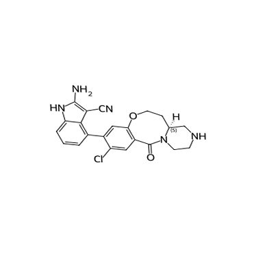 N#Cc1c(N)[nH]c2cccc(-c3cc4c(cc3Cl)C(=O)N3CCNC[C@@H]3CCO4)c12